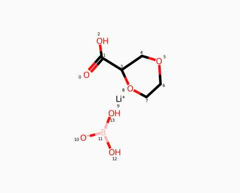 O=C(O)C1COCCO1.[Li+].[O-]B(O)O